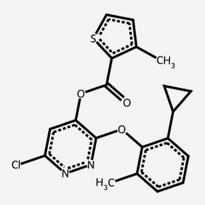 Cc1ccsc1C(=O)Oc1cc(Cl)nnc1Oc1c(C)cccc1C1CC1